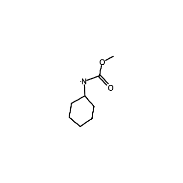 COC(=O)[N]C1CCCCC1